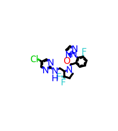 O=C(c1cccc(F)c1-n1nccn1)N1CCC(F)(F)C1CNc1ncc(Cl)cn1